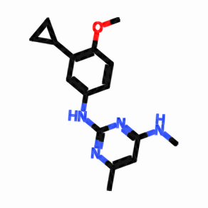 CNc1cc(C)nc(Nc2ccc(OC)c(C3CC3)c2)n1